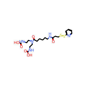 O=C(O)NCCN(CCNC(=O)O)C(=O)CCCCCNC(=O)CCSSc1ccccn1